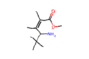 COC(=O)C(C)=C(C)C(N)C(C)(C)C